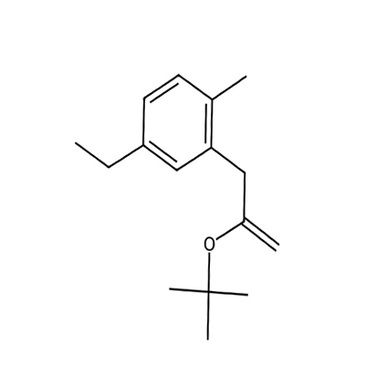 C=C(Cc1cc(CC)ccc1C)OC(C)(C)C